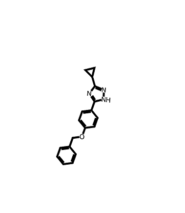 c1ccc(COc2ccc(-c3nc(C4CC4)n[nH]3)cc2)cc1